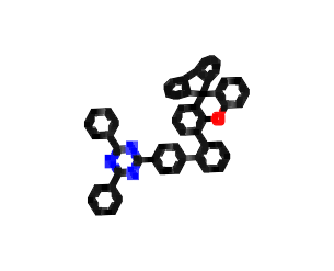 c1ccc(-c2nc(-c3ccccc3)nc(-c3ccc(-c4ccccc4-c4cccc5c4Oc4ccccc4C54c5ccccc5-c5ccccc54)cc3)n2)cc1